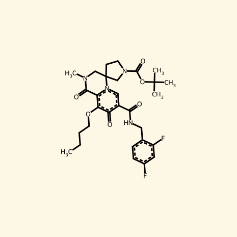 CCCCOc1c2n(cc(C(=O)NCc3ccc(F)cc3F)c1=O)C1(CCN(C(=O)OC(C)(C)C)C1)CN(C)C2=O